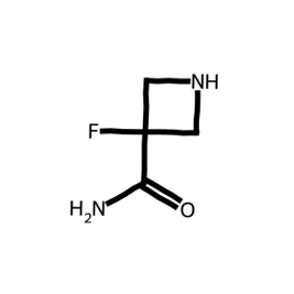 NC(=O)C1(F)CNC1